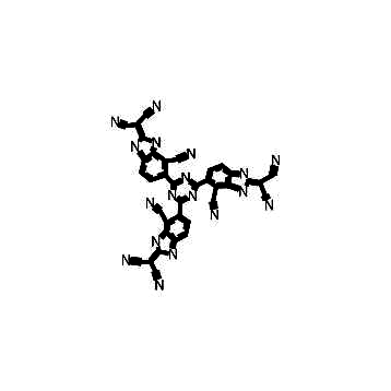 N#CC(C#N)=C1N=c2ccc(-c3nc(-c4ccc5c(c4C#N)=NC(=C(C#N)C#N)N=5)nc(-c4ccc5c(c4C#N)=NC(=C(C#N)C#N)N=5)n3)c(C#N)c2=N1